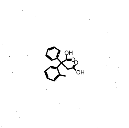 Cc1ccccc1C(CC(=O)O)(C(=O)O)c1ccccc1